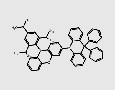 CC(C)c1cc(C(C)C)c(B2c3ccccc3Oc3cc(N4c5ccccc5C(c5ccccc5)(c5ccccc5)c5ccccc54)ccc32)c(C(C)C)c1